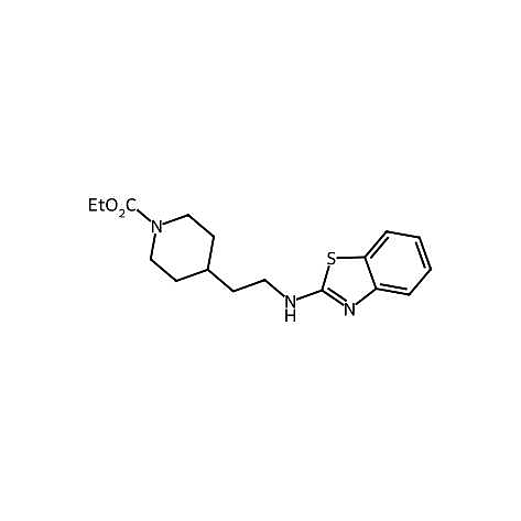 CCOC(=O)N1CCC(CCNc2nc3ccccc3s2)CC1